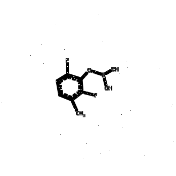 Cc1ccc(F)c(OB(O)O)c1F